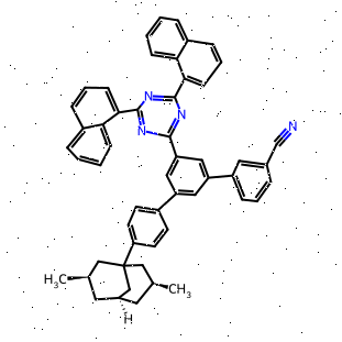 C[C@@H]1C[C@@H]2C[C@H](C)CC(c3ccc(-c4cc(-c5cccc(C#N)c5)cc(-c5nc(-c6cccc7ccccc67)nc(-c6cccc7ccccc67)n5)c4)cc3)(C1)C2